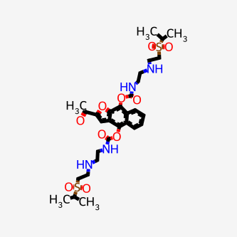 CC(=O)c1cc2c(OC(=O)NCCNCCS(=O)(=O)C(C)C)c3ccccc3c(OC(=O)NCCNCCS(=O)(=O)C(C)C)c2o1